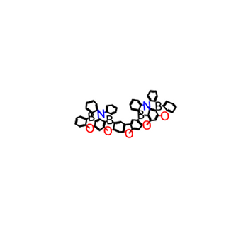 c1ccc2c(c1)Oc1cc3c4c5c1B2c1ccccc1N5c1ccccc1B4c1cc2c(cc1O3)oc1cc3c(cc12)B1c2ccccc2N2c4ccccc4B4c5ccccc5Oc5cc(c1c2c54)O3